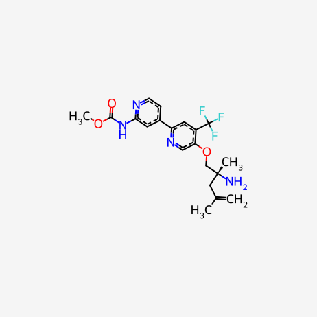 C=C(C)C[C@@](C)(N)COc1cnc(-c2ccnc(NC(=O)OC)c2)cc1C(F)(F)F